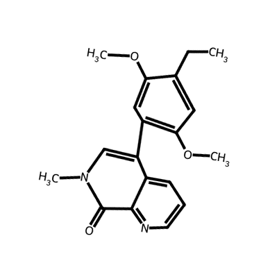 CCc1cc(OC)c(-c2cn(C)c(=O)c3ncccc23)cc1OC